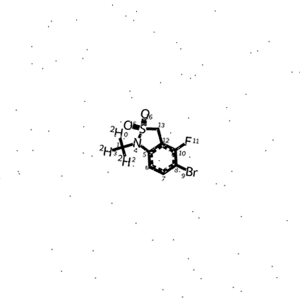 [2H]C([2H])([2H])N1c2ccc(Br)c(F)c2CS1(=O)=O